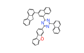 c1ccc2c(c1)Cc1c(-c3cc(-c4nc(-c5ccc6c(c5)oc5ccccc56)nc(-c5cccc6ccccc56)n4)c4ccccc4c3)cccc1-2